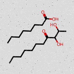 CCCCCCCC(=O)C(O)C(C)O.CCCCCCCC(=O)O